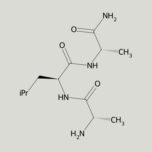 CC(C)C[C@H](NC(=O)[C@H](C)N)C(=O)N[C@@H](C)C(N)=O